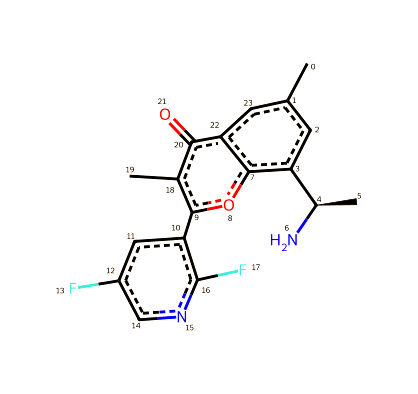 Cc1cc([C@@H](C)N)c2oc(-c3cc(F)cnc3F)c(C)c(=O)c2c1